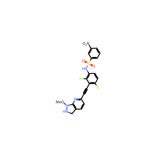 CON1NCc2ccc(C#Cc3c(F)ccc(NS(=O)(=O)c4cccc([N+](=O)[O-])c4)c3F)nc21